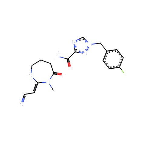 CN1C(=O)[C@@H](NC(=O)c2ncn(Cc3ccc(F)cc3)n2)CCN/C1=C\C=N